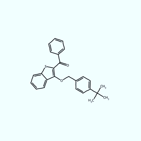 CC(C)(C)c1ccc(COc2c(C(=O)c3ccccc3)sc3ccccc23)cc1